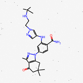 Cc1nn(-c2ccc(C(N)=O)c(Nc3cnn(CCNC(C)(C)C)c3)c2)c2c1C(=O)CC(C)(C)C2